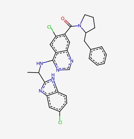 CC(Nc1ncnc2cc(C(=O)N3CCCC3Cc3ccccc3)c(Cl)cc12)c1nc2cc(Cl)ccc2[nH]1